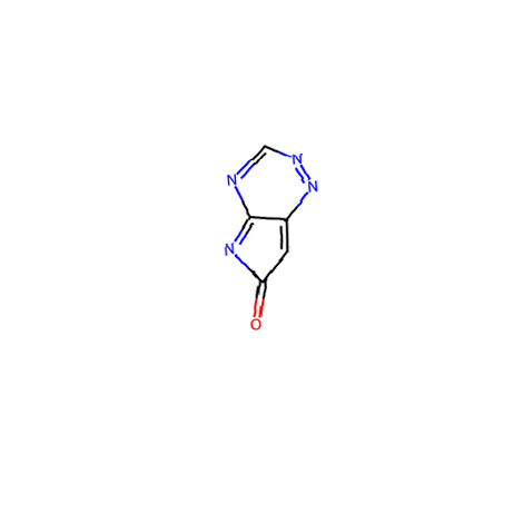 O=C1C=c2nncnc2=N1